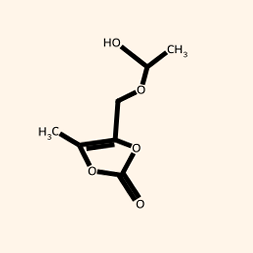 Cc1oc(=O)oc1COC(C)O